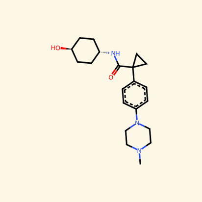 CN1CCN(c2ccc(C3(C(=O)N[C@H]4CC[C@H](O)CC4)CC3)cc2)CC1